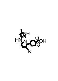 COC1(C(=O)O)CCC(c2nc(Nc3cc(C)[nH]n3)ccc2C#N)CC1